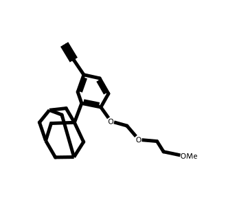 C#Cc1ccc(OCOCCOC)c(C23CC4CC(CC(C4)C2)C3)c1